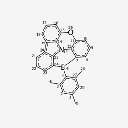 Cc1cc(C)c(B2c3cccc4c3-n3c5c(cccc5c5cccc2c53)O4)c(C)c1